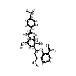 COCCC(Oc1ccccc1C(C)=O)c1cc(OC)c2[nH]c(-c3ccc(C(C)C)cc3)nc2c1Br